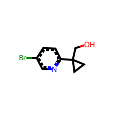 OCC1(c2ccc(Br)cn2)CC1